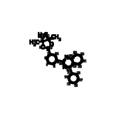 CC1(C)OB(c2cccc(-c3nc(-c4ccccc4)c4ccccc4n3)c2)OC1(C)C